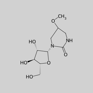 COC1CNC(=O)N([C@@H]2O[C@H](CO)[C@@H](O)[C@@H]2O)C1